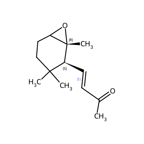 CC(=O)/C=C/[C@H]1C(C)(C)CCC2O[C@@]21C